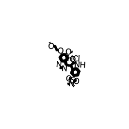 COCCOc1cc2ncnc(C3C(=O)Nc4ccc(S(=O)(=O)N(C)C)cc43)c2cc1OC.Cl